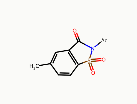 CC(=O)N1C(=O)c2cc(C)ccc2S1(=O)=O